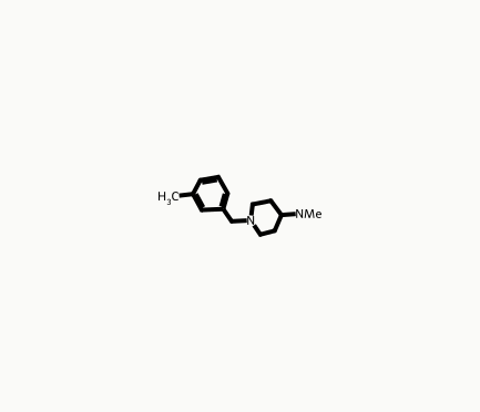 CNC1CCN(Cc2cccc(C)c2)CC1